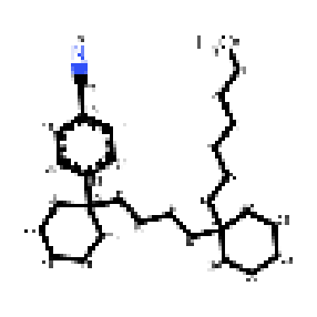 CCCCCCCC1(CCCCC2(c3ccc(C#N)cc3)CCCCC2)CCCCC1